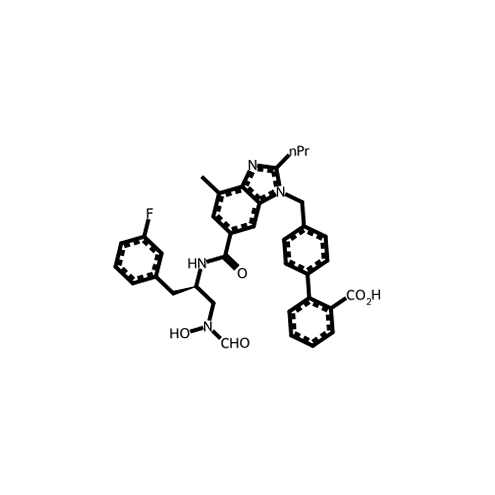 CCCc1nc2c(C)cc(C(=O)N[C@H](Cc3cccc(F)c3)CN(O)C=O)cc2n1Cc1ccc(-c2ccccc2C(=O)O)cc1